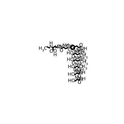 CC(C)CC(N)C(=O)O.CC(C)CC(N)C(=O)O.CC(C)CC(N)C(=O)O.CC(O)C(N)C(=O)O.CCCNC(CCO)C(=O)O.NC(CO)C(=O)O.NC(CO)C(=O)O.NC(Cc1ccccc1)C(=O)O